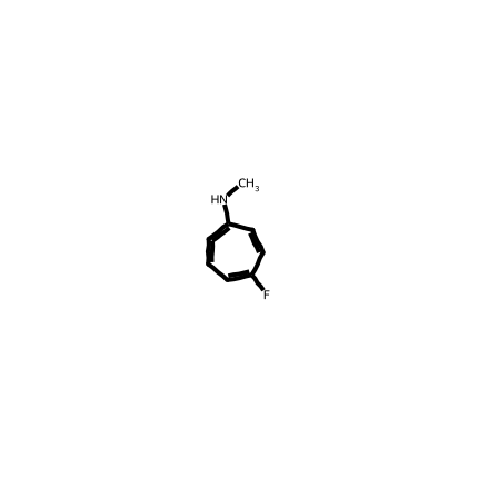 CNC1=C=CC=C(F)C=C1